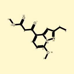 CCc1cc2c(C(=O)CC(=O)OC)ccc(OC)n2n1